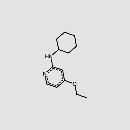 CCOc1ccnc(NC2CCCCC2)c1